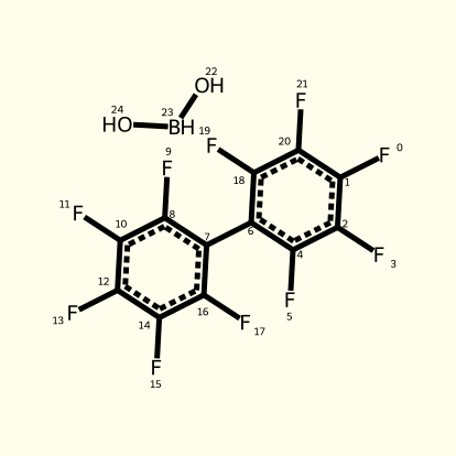 Fc1c(F)c(F)c(-c2c(F)c(F)c(F)c(F)c2F)c(F)c1F.OBO